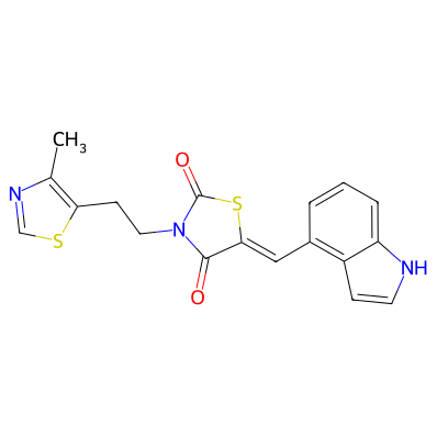 Cc1ncsc1CCN1C(=O)SC(=Cc2cccc3[nH]ccc23)C1=O